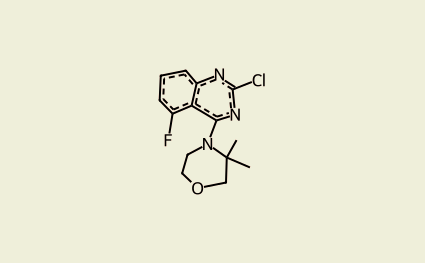 CC1(C)COCCN1c1nc(Cl)nc2cccc(F)c12